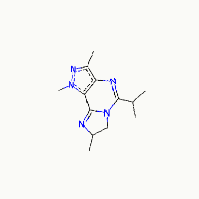 Cc1nn(C)c2c1N=C(C(C)C)N1CC(C)N=C21